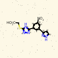 O=C(O)CSc1nnc(-c2cc(-c3cc[nH]n3)cc([N+](=O)[O-])c2)[nH]1